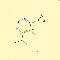 Cc1c(C(C)C)ncnc1C1CC1